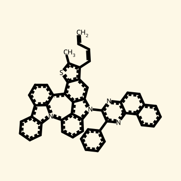 C=C/C=C\c1c(C)sc2c1cc1c3c2c2cccc4c5ccccc5n(c5cccc(c35)n1-c1nc3ccc5ccccc5c3nc1-c1ccccc1)c42